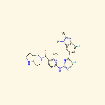 Cc1nc(Nc2ncc(F)c(-c3cc(F)c4nc(C)n(C(C)C)c4c3)n2)ccc1C(=O)N1CCC2NCCC2C1